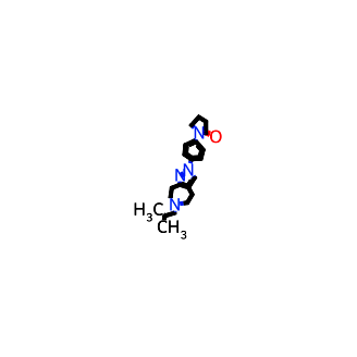 CC(C)CN1CCc2cn(-c3ccc(N4CCCC4=O)cc3)nc2CC1